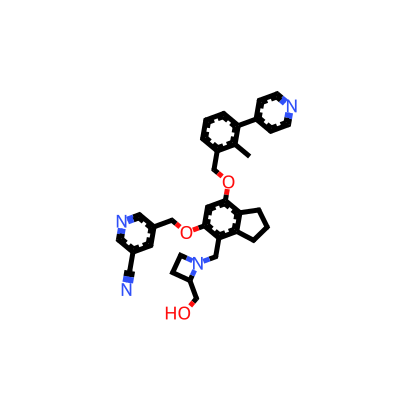 Cc1c(COc2cc(OCc3cncc(C#N)c3)c(CN3CCC3CO)c3c2CCC3)cccc1-c1ccncc1